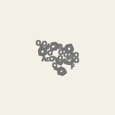 CC(=O)OC[C@H]1O[C@@H](n2cc(F)c(=O)n(C(=O)c3cccc(C(=O)Oc4ccn(C5OC(=O)c6ccccc65)c(=O)c4)c3)c2=O)C[C@@H]1OCc1ccccc1